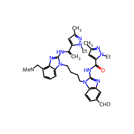 C=C(Nc1nc2c(CNC)cccc2n1CCCCn1c(NC(=O)c2cc(C)nn2CC)nc2cc(C=O)ccc21)c1cc(C)nn1CC